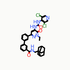 CCn1nc(-c2cccc(-c3cccc(C(=O)NCC45CC6CC(CC(C6)C4)C5)c3)c2)cc(NC(=O)Nc2c(Cl)cncc2Cl)c1=O